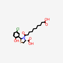 O=C(O)CCCCCCCCC(=O)N1C(c2cc(Cl)ccc2O)SC[C@H]1C(=O)O